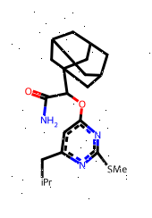 CSc1nc(CC(C)C)cc(OC(C(N)=O)C23CC4CC(CC(C4)C2)C3)n1